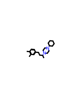 Cc1ccc(CCC(C)N2CCN(C3CCCCC3)CC2)cc1C